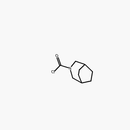 O=C(Cl)N1CC2CCC(CC2)C1